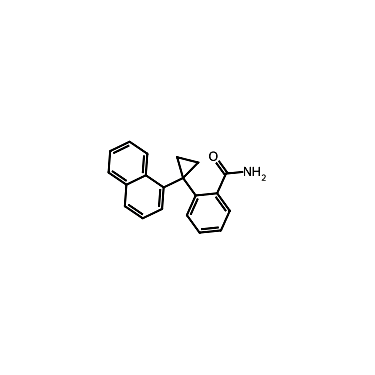 NC(=O)c1ccccc1C1(c2cccc3ccccc23)CC1